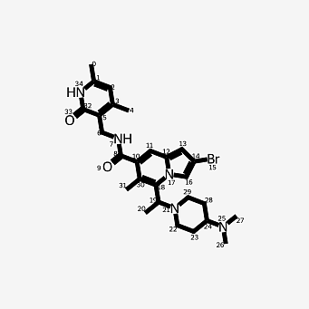 Cc1cc(C)c(CNC(=O)c2cc3cc(Br)cn3c(C(C)N3CCC(N(C)C)CC3)c2C)c(=O)[nH]1